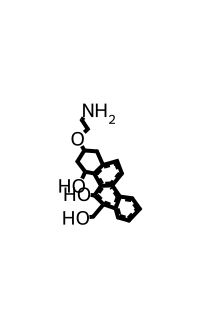 NCCOC1Cc2ccc3c(c(O)c(CO)c4ccccc43)c2C(O)C1